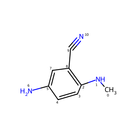 CNc1ccc(N)cc1C#N